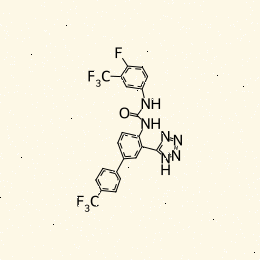 O=C(Nc1ccc(F)c(C(F)(F)F)c1)Nc1ccc(-c2ccc(C(F)(F)F)cc2)cc1-c1nnn[nH]1